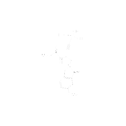 COC(=O)N[C@H](C#C[Si](C)(C)C)CN1Cc2ccc(OC)cc2C1=O